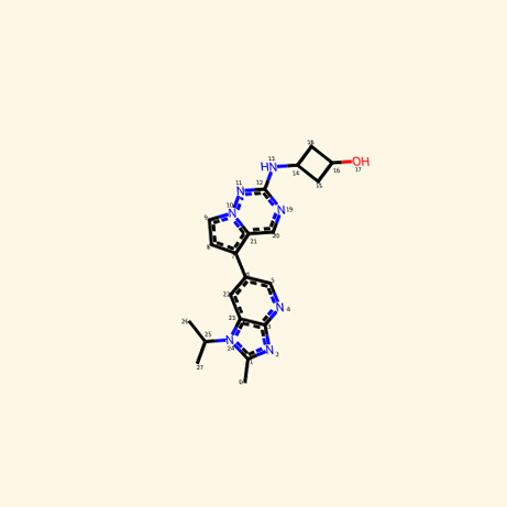 Cc1nc2ncc(-c3ccn4nc(NC5CC(O)C5)ncc34)cc2n1C(C)C